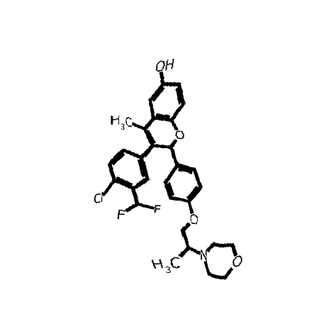 CC1=C(c2ccc(Cl)c(C(F)F)c2)C(c2ccc(OCC(C)N3CCOCC3)cc2)Oc2ccc(O)cc21